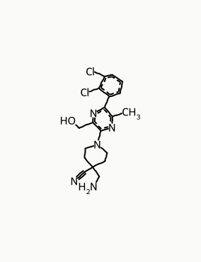 Cc1nc(N2CCC(C#N)(CN)CC2)c(CO)nc1-c1cccc(Cl)c1Cl